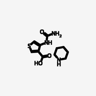 C1CCNCC1.NC(=O)Nc1cscc1C(=O)O